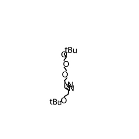 CC(C)(C)OCCOCCOCCn1cc(CCOC(C)(C)C)nn1